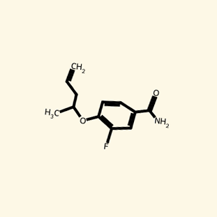 C=CCC(C)Oc1ccc(C(N)=O)cc1F